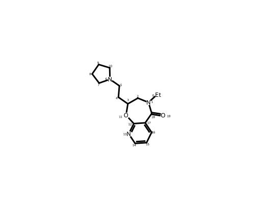 CCN1CC(CCN2CCCC2)Oc2ncccc2C1=O